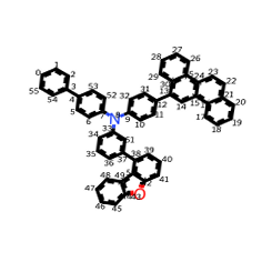 c1ccc(-c2ccc(N(c3ccc(-c4cc5c6ccccc6ccc5c5ccccc45)cc3)c3cccc(-c4cccc5oc6ccccc6c45)c3)cc2)cc1